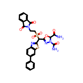 NC(=O)C1OC(C(c2nc3ccc(-c4ccccc4)cc3s2)S(=O)(=O)CCN2C(=O)c3ccccc3C2=O)=NN1C(N)=O